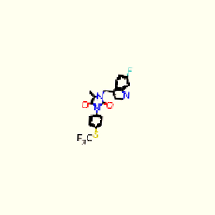 CC1C(=O)N(c2ccc(SC(F)(F)F)cc2)C(=O)N1Cc1ccnc2cc(F)ccc12